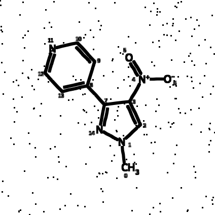 Cn1cc([N+](=O)[O-])c(-c2ccncc2)n1